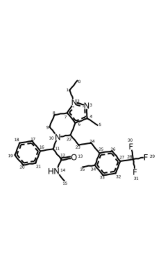 CCn1nc(C)c2c1CCN(C(C(=O)NC)c1ccccc1)C2CCc1cc(C(F)(F)F)ccc1C